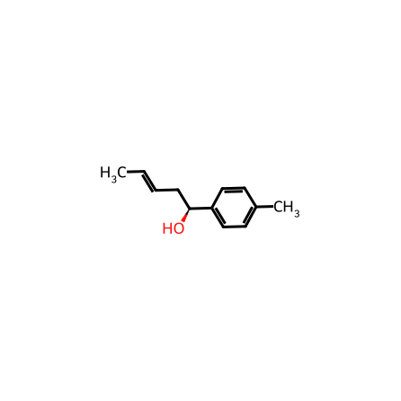 CC=CC[C@H](O)c1ccc(C)cc1